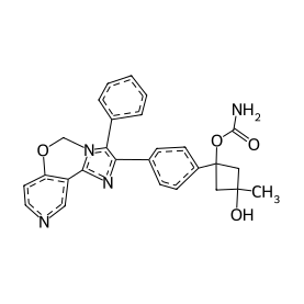 CC1(O)CC(OC(N)=O)(c2ccc(-c3nc4n(c3-c3ccccc3)COc3ccncc3-4)cc2)C1